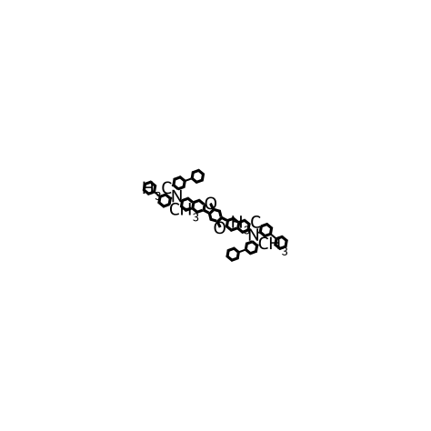 Cc1ccc(-c2ccccc2)cc1N(c1ccc2cc3c(cc2c1)oc1cc2c(cc13)oc1cc3cc(N(c4cc(-c5ccccc5)ccc4C)c4cc(-c5ccccc5)ccc4C)ccc3cc12)c1cc(-c2ccccc2)ccc1C